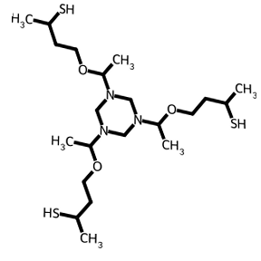 CC(S)CCOC(C)N1CN(C(C)OCCC(C)S)CN(C(C)OCCC(C)S)C1